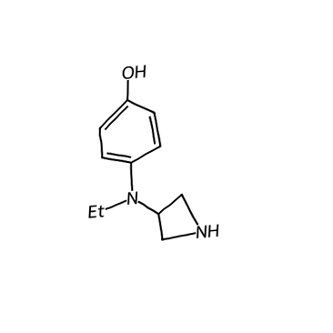 CCN(c1ccc(O)cc1)C1CNC1